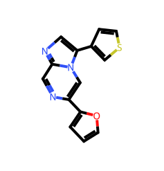 c1coc(-c2cn3c(-c4ccsc4)cnc3cn2)c1